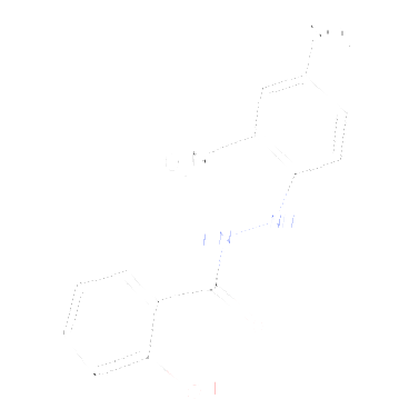 O=C(NNc1ccc([N+](=O)[O-])cc1[N+](=O)[O-])c1ccccc1O